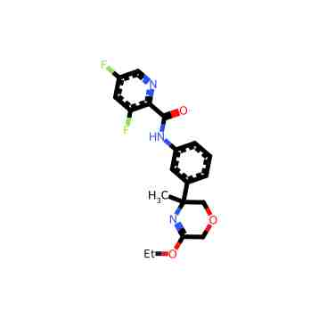 CCOC1=NC(C)(c2cccc(NC(=O)c3ncc(F)cc3F)c2)COC1